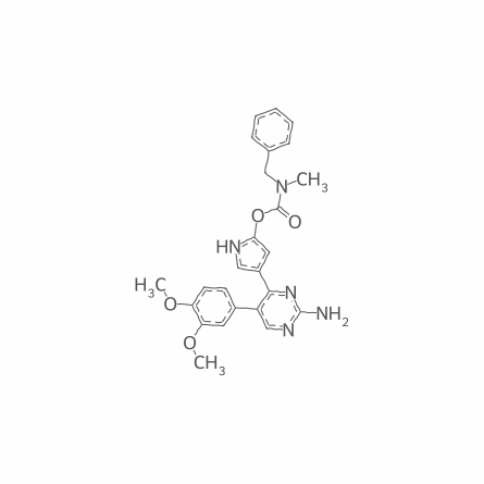 COc1ccc(-c2cnc(N)nc2-c2c[nH]c(OC(=O)N(C)Cc3ccccc3)c2)cc1OC